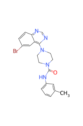 Cc1cccc(NC(=O)N2CCN(c3ncnc4ccc(Br)cc34)CC2)c1